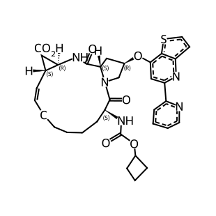 O=C(N[C@H]1CCCCCC=C[C@@H]2C[C@@]2(C(=O)O)NC(=O)[C@@H]2C[C@@H](Oc3cc(-c4ccccn4)nc4ccsc34)CN2C1=O)OC1CCC1